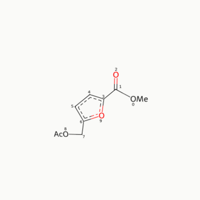 COC(=O)c1ccc(COC(C)=O)o1